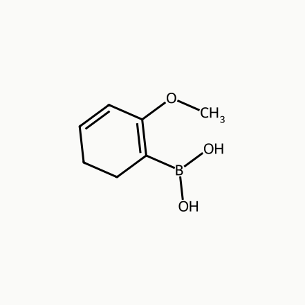 COC1=C(B(O)O)CCC=C1